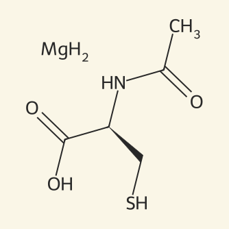 CC(=O)N[C@@H](CS)C(=O)O.[MgH2]